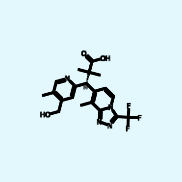 Cc1cnc([C@@H](c2ccn3c(C(F)(F)F)nnc3c2C)C(C)(C)C(=O)O)cc1CO